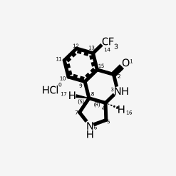 Cl.O=C1N[C@H]2CNC[C@@H]2c2cccc(C(F)(F)F)c21